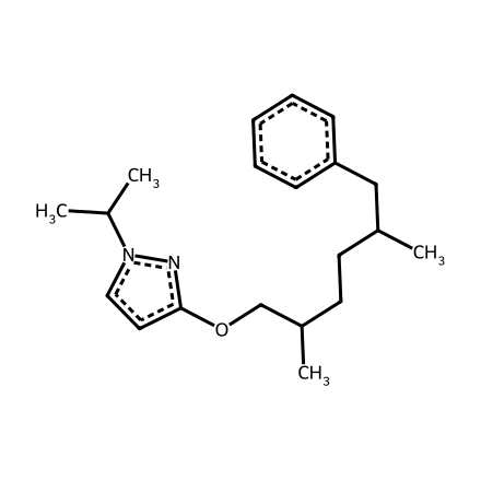 CC(CCC(C)Cc1ccccc1)COc1ccn(C(C)C)n1